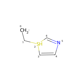 [CH2]C[SH]1C=CN=C1